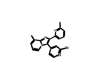 Cc1cccc(-c2nc3c(C)cccn3c2-c2ccnc(Br)c2)n1